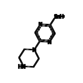 [SnH][c]1cnc(N2CCNCC2)cn1